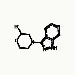 CCC1CN(c2n[nH]c3cnccc23)CCO1